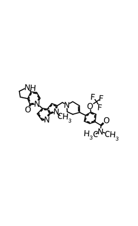 CN(C)C(=O)c1ccc(C2=CCN(Cc3cc4c(-n5ccc6c(c5=O)CCN6)ccnc4n3C)CC2)c(OC(F)(F)F)c1